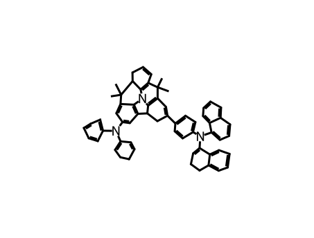 CC1(C)C2=C3C(CC(c4ccc(N(C5=CCCc6ccccc65)c5cccc6ccccc56)cc4)=C2)c2cc(N(C4=CCCC=C4)c4ccccc4)cc4c2N3C2=C1C=CCC2C4(C)C